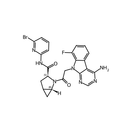 Nc1ncnc2c1c1cccc(F)c1n2CC(=O)N1[C@@H]2CC2C[C@H]1C(=O)Nc1cccc(Br)n1